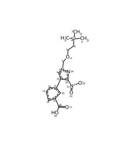 C[Si](C)(C)CCOCn1cc(-c2cccc(C(=O)O)c2)c([N+](=O)[O-])n1